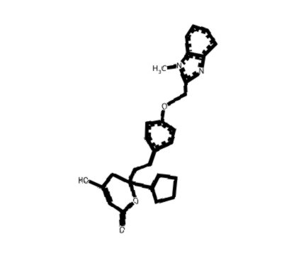 Cn1c(COc2ccc(CCC3(C4CCCC4)CC(O)=CC(=O)O3)cc2)nc2ccccc21